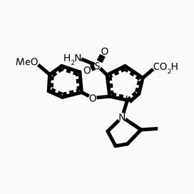 COc1ccc(Oc2c(N3CCCC3C)cc(C(=O)O)cc2S(N)(=O)=O)cc1